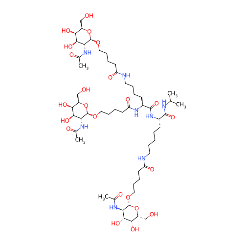 CC(=O)N[C@H]1[C@H](OCCCCC(=O)NCCCCC[C@H](NC(=O)[C@H](CCCCNC(=O)CCCCO[C@@H]2O[C@H](CO)[C@H](O)[C@H](O)[C@H]2NC(C)=O)NC(=O)CCCCO[C@@H]2O[C@H](CO)[C@H](O)[C@H](O)[C@H]2NC(C)=O)C(=O)NC(C)C)O[C@H](CO)[C@H](O)[C@@H]1O